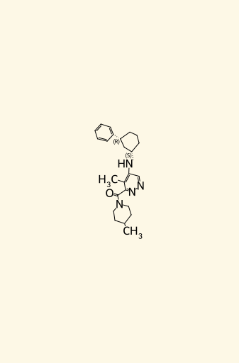 Cc1c(NC[C@H]2CCC[C@@H](c3ccccc3)C2)cnnc1C(=O)N1CCC(C)CC1